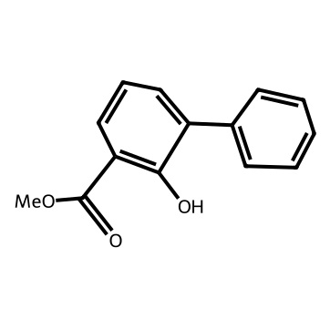 COC(=O)c1cccc(-c2ccccc2)c1O